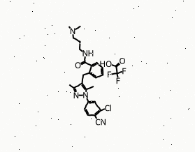 Cc1nn(-c2ccc(C#N)c(Cl)c2)c(C)c1Cc1ccccc1C(=O)NCCCN(C)C.O=C(O)C(F)(F)F